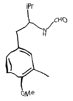 COc1ccc(CC(NC=O)C(C)C)cc1C